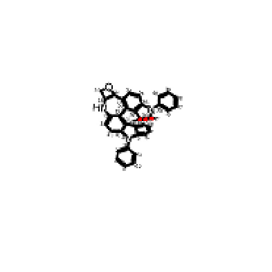 c1ccc(-n2c3ccccc3c3c4c(ccc32)NC2COC2c2ccc3c(c2-4)c2ccccc2n3-c2ccccc2)cc1